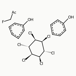 CC(=O)CF.Cl[C@H]1[C@H](Cl)[C@@H](Cl)[C@@H](Cl)[C@H](Cl)[C@H]1Cl.Oc1ccccc1.Oc1ccccc1